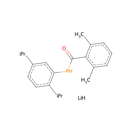 Cc1cccc(C)c1C(=O)Pc1cc(C(C)C)ccc1C(C)C.[LiH]